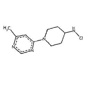 Cc1cc(N2CCC(NCl)CC2)ncn1